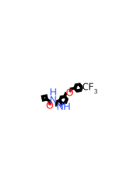 O=C(Nc1c[nH]c2ccc(COCc3ccc(C(F)(F)F)cc3)cc12)C1CCC1